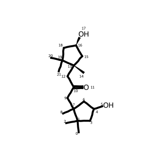 CC1(C)CC(O)CC1(C)CC(=O)C[C@@]1(C)C[C@H](O)CC1(C)C